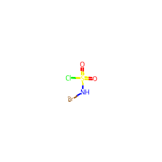 O=S(=O)(Cl)NBr